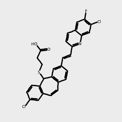 O=C(O)CCSC1c2ccc(Cl)cc2C=Cc2ccc(C=Cc3ccc4cc(F)c(Cl)cc4n3)cc21